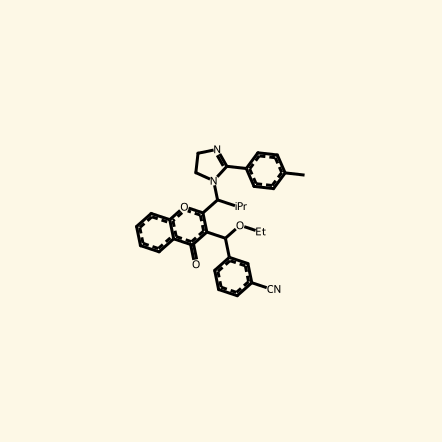 CCOC(c1cccc(C#N)c1)c1c(C(C(C)C)N2CCN=C2c2ccc(C)cc2)oc2ccccc2c1=O